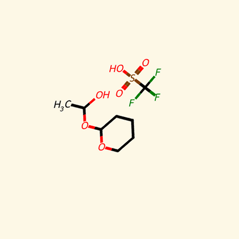 CC(O)OC1CCCCO1.O=S(=O)(O)C(F)(F)F